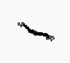 C=CCCCCCCOc1ccc(OC(=O)c2ccc(-c3ccc(C[C@@H](C)CC)cc3)cc2)cc1